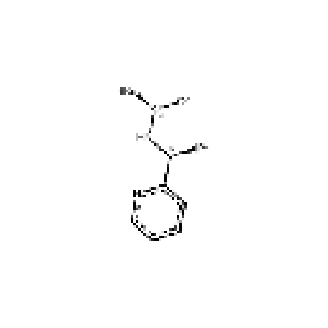 CC(C)[C@H](N[S@+]([O-])C(C)(C)C)c1ccccn1